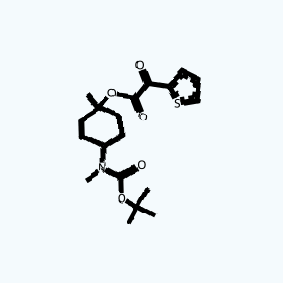 CN(C(=O)OC(C)(C)C)C1CCC(C)(OC(=O)C(=O)c2cccs2)CC1